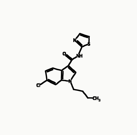 CCCCn1cc(C(=O)Nc2nccs2)c2ccc(Cl)cc21